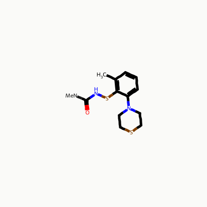 CNC(=O)NSc1c(C)cccc1N1CCSCC1